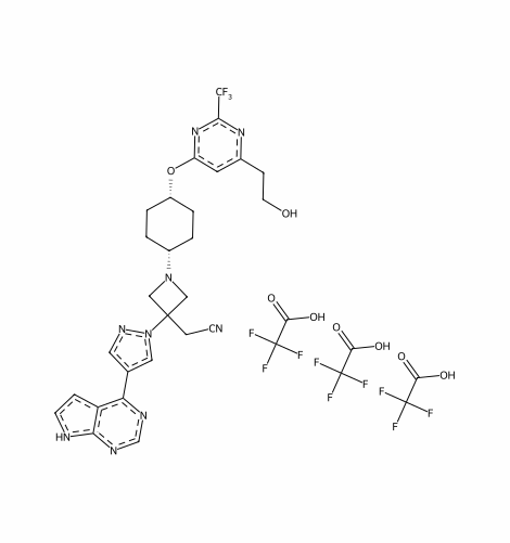 N#CCC1(n2cc(-c3ncnc4[nH]ccc34)cn2)CN([C@H]2CC[C@@H](Oc3cc(CCO)nc(C(F)(F)F)n3)CC2)C1.O=C(O)C(F)(F)F.O=C(O)C(F)(F)F.O=C(O)C(F)(F)F